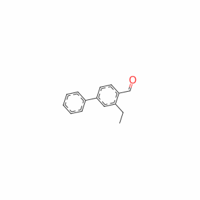 CCc1cc(-c2ccccc2)ccc1C=O